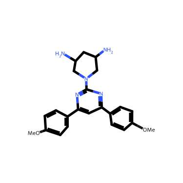 COc1ccc(-c2cc(-c3ccc(OC)cc3)nc(N3CC(N)CC(N)C3)n2)cc1